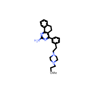 COCCN1CCN(CCc2cccc(-c3nc(N)nc4c3CCc3ccccc3-4)c2)CC1